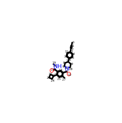 CC#Cc1ccc(C2CCN(C(=O)c3cc(C(=O)NC)c(C4CCC4)cc3C)CC2)cc1